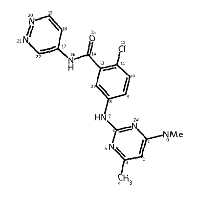 CNc1cc(C)nc(Nc2ccc(Cl)c(C(=O)Nc3ccnnc3)c2)n1